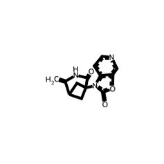 C=C1NC(=O)C2(n3c(=O)oc4cnccc43)CC1C2